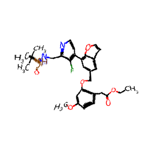 CCOC(=O)Cc1ccc(OC)cc1OCc1cc(-c2ccnc(C/N=[SH](=O)/C(C)(C)C)c2F)c2occc2c1